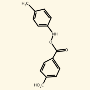 Cc1ccc(NOC(=O)c2ccc(C(=O)O)cc2)cc1